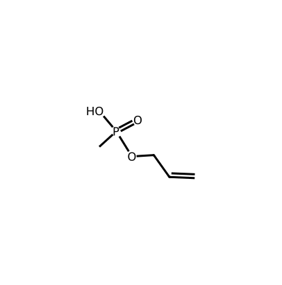 C=CCOP(C)(=O)O